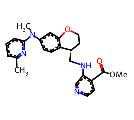 COC(=O)c1ccncc1NC[C@@H]1CCOc2cc(N(C)c3cccc(C)n3)ccc21